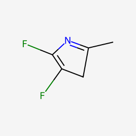 CC1=NC(F)=C(F)C1